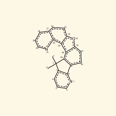 CC1(C)c2cccnc2-c2ccc3oc4ccc5cccnc5c4c3c21